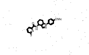 COc1ccc(-n2ncc3c2CCCC3NC(=O)c2cccc(F)n2)cc1